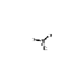 C[CH2][TiH]([CH2]C)[CH2]C